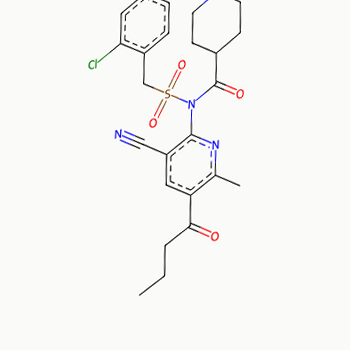 CCCC(=O)c1cc(C#N)c(N(C(=O)C2CCNCC2)S(=O)(=O)Cc2ccccc2Cl)nc1C